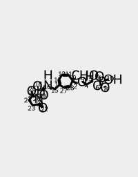 O=CC1(COCCOP(=O)(O)O)C=CC=C(CNC(=O)ON2C(=O)CCC2O)C=C1